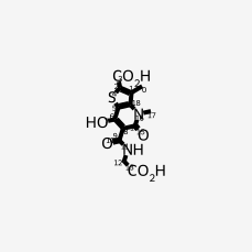 Cc1c(C(=O)O)sc2c(O)c(C(=O)NCC(=O)O)c(=O)n(C)c12